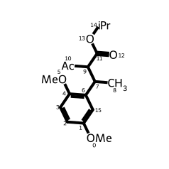 COc1ccc(OC)c(C(C)C(C(C)=O)C(=O)OC(C)C)c1